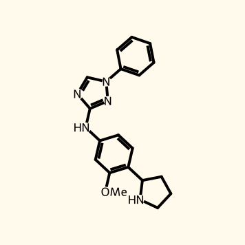 COc1cc(Nc2ncn(-c3ccccc3)n2)ccc1C1CCCN1